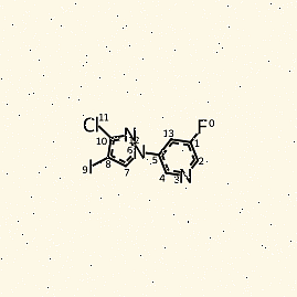 Fc1cncc(-n2cc(I)c(Cl)n2)c1